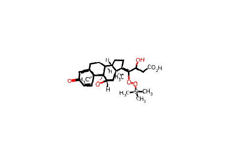 C[C@]12C=CC(=O)C=C1CC[C@H]1[C@@H]3CCC(=C(OO[Si](C)(C)C)C(O)CC(=O)O)[C@@]3(C)C[C@@H]3O[C@@]312